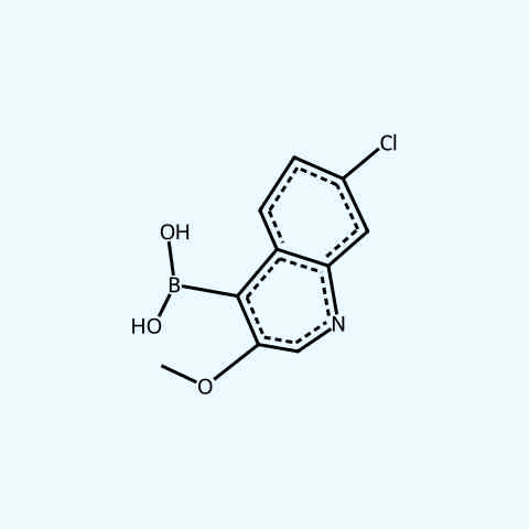 COc1cnc2cc(Cl)ccc2c1B(O)O